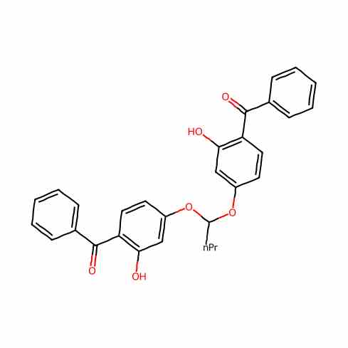 CCCC(Oc1ccc(C(=O)c2ccccc2)c(O)c1)Oc1ccc(C(=O)c2ccccc2)c(O)c1